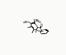 CCCCC1=C(CCCC)C(C(=O)c2ccccc2)C(C)(OC)C(C)=C1C